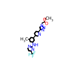 COC(=O)Cn1cc(-c2ccc(-c3cc(C)cc(Nc4nccc(C(F)(F)F)n4)c3)cn2)nn1